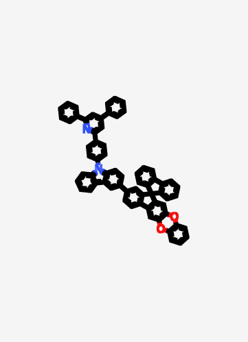 c1ccc(-c2cc(-c3ccccc3)nc(-c3ccc(-n4c5ccccc5c5cc(-c6ccc7c(c6)C6(c8ccccc8-c8ccccc86)c6cc8c(cc6-7)Oc6ccccc6O8)ccc54)cc3)c2)cc1